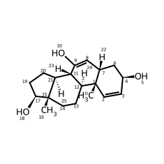 C[C@]12C=C[C@H](O)C[C@H]1C=C(O)[C@@H]1[C@@H]2CC[C@]2(C)[C@@H](O)CC[C@@H]12